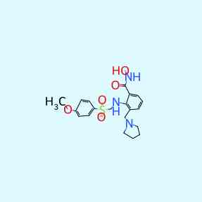 COc1ccc(S(=O)(=O)CNc2c(CN3CCCC3)cccc2C(=O)NO)cc1